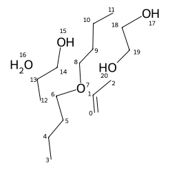 C=CC.CCCCOCCCC.CCCO.O.OCCO